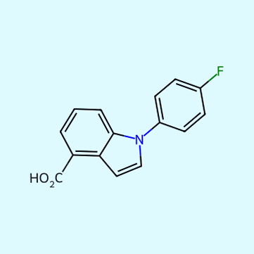 O=C(O)c1cccc2c1ccn2-c1ccc(F)cc1